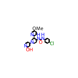 COc1ccc([C@@H]2CN(c3ccnc(O)c3)CC[C@H]2NC(=O)Nc2ccc(Cl)cc2)nc1